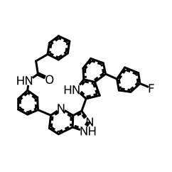 O=C(Cc1ccccc1)Nc1cccc(-c2ccc3[nH]nc(-c4cc5c(-c6ccc(F)cc6)cccc5[nH]4)c3n2)c1